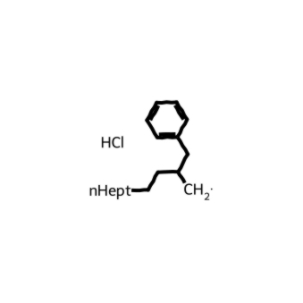 Cl.[CH2]C(CCCCCCCCC)Cc1ccccc1